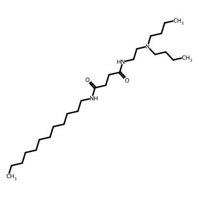 CCCCCCCCCCCCNC(=O)CCC(=O)NCCN(CCCC)CCCC